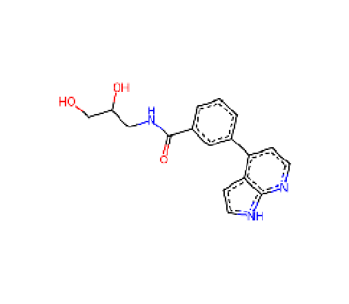 O=C(NCC(O)CO)c1cccc(-c2ccnc3[nH]ccc23)c1